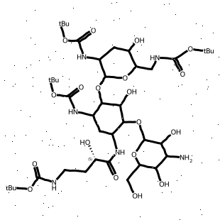 CC(C)(C)OC(=O)NCC[C@H](O)C(=O)NC1CC(NC(=O)OC(C)(C)C)C(OC2OC(CNC(=O)OC(C)(C)C)C(O)CC2NC(=O)OC(C)(C)C)C(O)C1OC1OC(CO)C(O)C(N)C1O